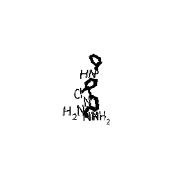 N=C(N)c1nc(-c2ccc(NSC3=CC=CCC3)cc2Cl)ccc1N